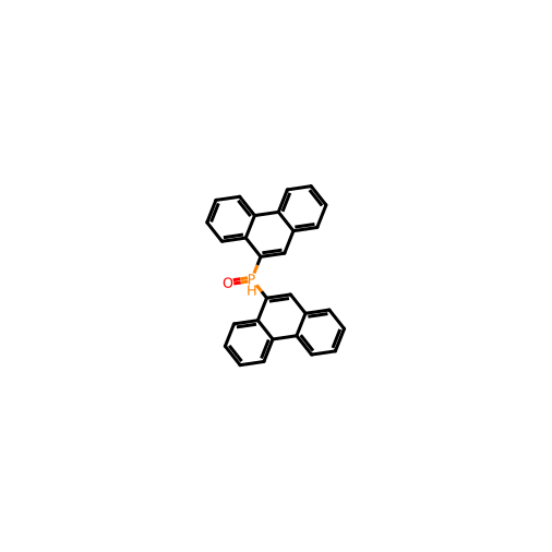 O=[PH](c1cc2ccccc2c2ccccc12)c1cc2ccccc2c2ccccc12